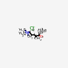 C=C(CCC[N+](C)(C)C)C(=O)OC.[Cl-]